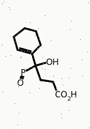 O=PC(O)(CCC(=O)O)C1=CCCCC1